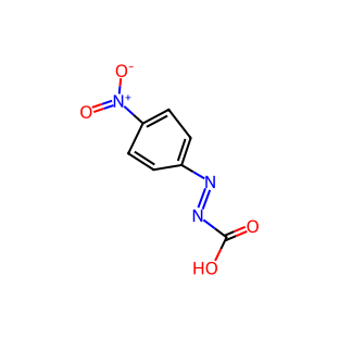 O=C(O)N=Nc1ccc([N+](=O)[O-])cc1